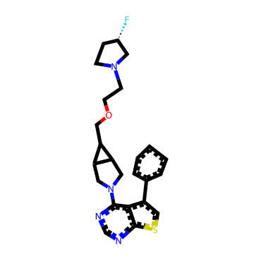 F[C@H]1CCN(CCOCC2C3CN(c4ncnc5scc(-c6ccccc6)c45)CC23)C1